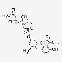 C=C(/C=C(Cl)\C=C(/C)Cl)[C@@H]1CCO[P@@](=O)(COc2cc(C)c(Cc3ccc(O)c(C(C)C)c3)c(C)c2)O1